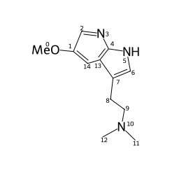 COc1cnc2[nH]cc(CCN(C)C)c2c1